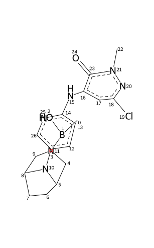 CB(O)N1CC2CCC(C1)N2c1ccc(Nc2cc(Cl)nn(C)c2=O)nc1